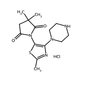 Cc1nc(N2CCNCC2)c(N2C(=O)CC(C)(C)C2=O)s1.Cl